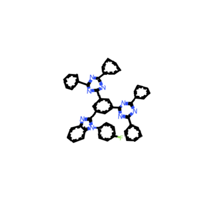 Fc1ccc(-n2c(-c3cc(-c4nc(-c5ccccc5)nc(-c5ccccc5)n4)cc(-c4nc(-c5ccccc5)nc(-c5ccccc5)n4)c3)nc3ccccc32)cc1